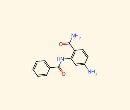 NC(=O)c1ccc(N)cc1NC(=O)c1ccccc1